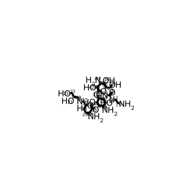 NCCN(O)C(=O)N[C@@H]1C[C@H](N)C(O[C@H]2O[C@H](CNCC(O)CO)CC[C@H]2N)[C@H](O)[C@H]1O[C@H]1O[C@H](CO)[C@@H](O)[C@H](N)[C@H]1O